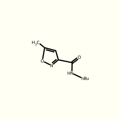 CCCCNC(=O)c1cc(C)on1